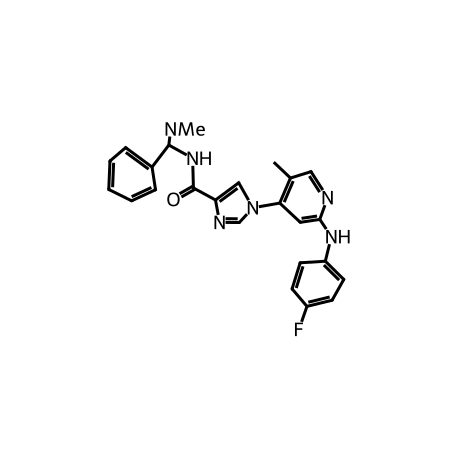 CNC(NC(=O)c1cn(-c2cc(Nc3ccc(F)cc3)ncc2C)cn1)c1ccccc1